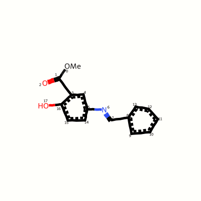 COC(=O)c1cc(N=Cc2ccccc2)ccc1O